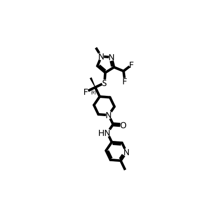 Cc1ccc(NC(=O)N2CCC([C@](C)(F)Sc3cn(C)nc3C(F)F)CC2)cn1